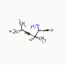 C#CC(N)C(C)(Br)C#CC(C)C